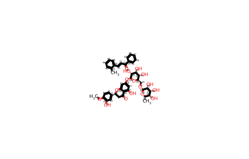 COc1ccc([C@@H]2CC(=O)c3c(O)cc(O[C@@H]4O[C@H](CO[C@@H]5O[C@@H](C)[C@H](O)[C@@H](O)[C@H]5O)[C@@H](O)[C@H](O)[C@H]4O)cc3O2)cc1O.Cc1ccccc1/C=C/C(=O)c1ccccc1